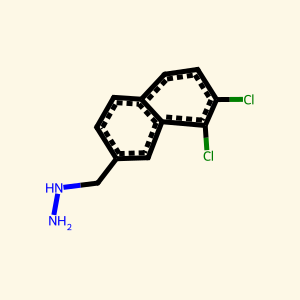 NNCc1ccc2ccc(Cl)c(Cl)c2c1